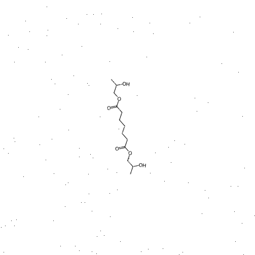 CC(O)COC(=O)CCCCCC(=O)OCC(C)O